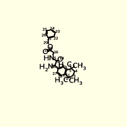 CC1(C)CCC(C)(C)c2cc(C(N)C(=O)NCC(=O)OCc3ccccc3)ccc21